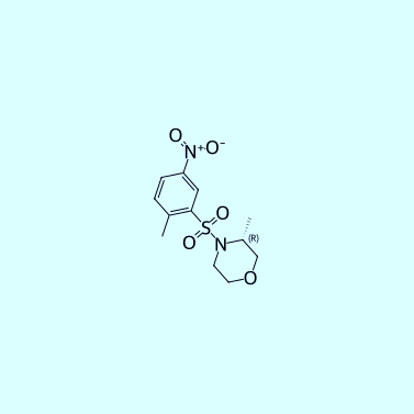 Cc1ccc([N+](=O)[O-])cc1S(=O)(=O)N1CCOC[C@H]1C